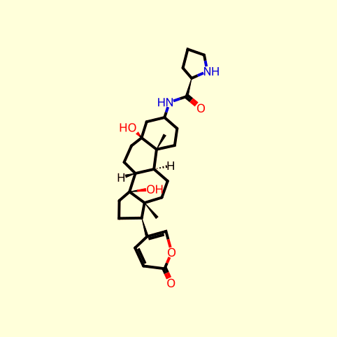 C[C@]12CCC(NC(=O)[C@H]3CCCN3)C[C@@]1(O)CC[C@@H]1[C@@H]2CC[C@]2(C)[C@@H](c3ccc(=O)oc3)CC[C@]12O